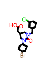 O=C(O)CC1CN(Cc2cccc(Cl)c2)C(=O)N(c2ccc(Br)cc2)C1